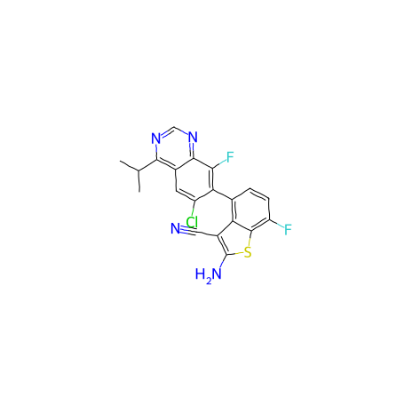 CC(C)c1ncnc2c(F)c(-c3ccc(F)c4sc(N)c(C#N)c34)c(Cl)cc12